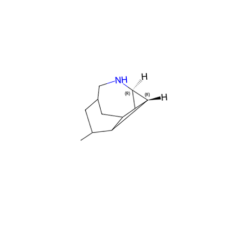 CC1CC2CN[C@@H]3C4C(C2)C1[C@H]43